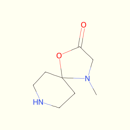 CN1CC(=O)OC12CCNCC2